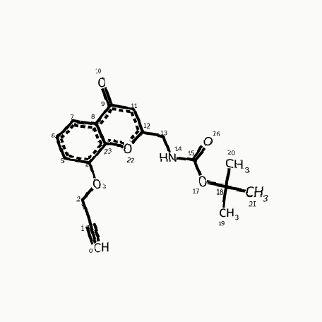 C#CCOc1cccc2c(=O)cc(CNC(=O)OC(C)(C)C)oc12